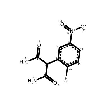 CC(=O)C(C(N)=O)c1cc([N+](=O)[O-])ccc1F